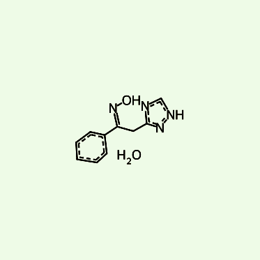 O.ON=C(Cc1nc[nH]n1)c1ccccc1